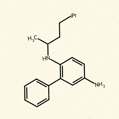 CC(C)CCC(C)Nc1ccc(N)cc1-c1ccccc1